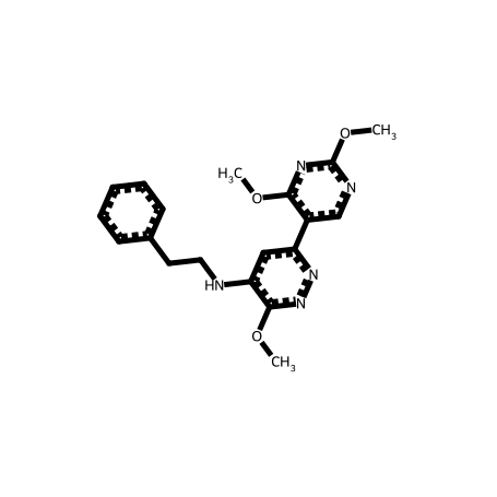 COc1ncc(-c2cc(NCCc3ccccc3)c(OC)nn2)c(OC)n1